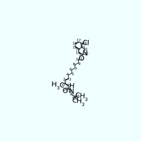 CC(C=CCCCCCCCOc1cc2cccc(Cl)c2cn1)=CC(=O)NCC(C)C